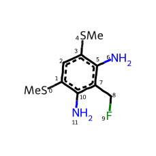 CSc1cc(SC)c(N)c(CF)c1N